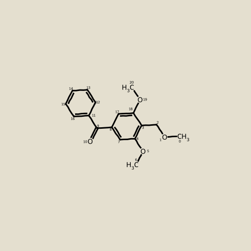 COCc1c(OC)cc(C(=O)c2[c]cccc2)cc1OC